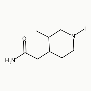 CC1CN(I)CCC1CC(N)=O